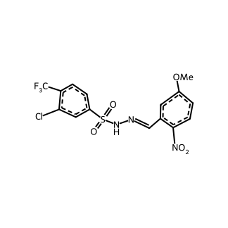 COc1ccc([N+](=O)[O-])c(C=NNS(=O)(=O)c2ccc(C(F)(F)F)c(Cl)c2)c1